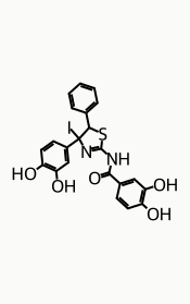 O=C(NC1=NC(I)(c2ccc(O)c(O)c2)C(c2ccccc2)S1)c1ccc(O)c(O)c1